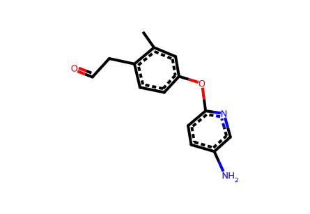 Cc1cc(Oc2ccc(N)cn2)ccc1CC=O